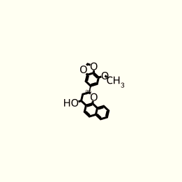 COc1cc([C@@H]2CC(O)c3ccc4ccccc4c3O2)cc2c1OCO2